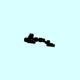 CCn1cc(-c2ccccc2OC)nc1C=Cc1ccc(-c2ccc(OCCCC(=O)OC)cc2)cc1